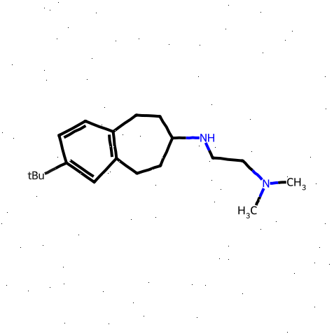 CN(C)CCNC1CCc2ccc(C(C)(C)C)cc2CC1